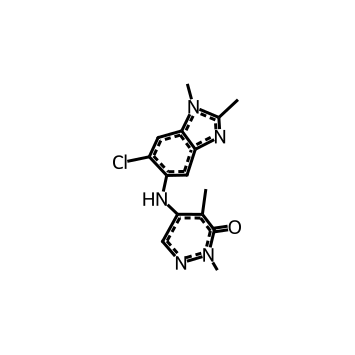 Cc1c(Nc2cc3nc(C)n(C)c3cc2Cl)cnn(C)c1=O